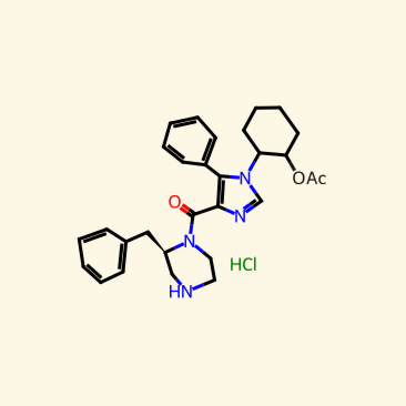 CC(=O)OC1CCCCC1n1cnc(C(=O)N2CCNC[C@H]2Cc2ccccc2)c1-c1ccccc1.Cl